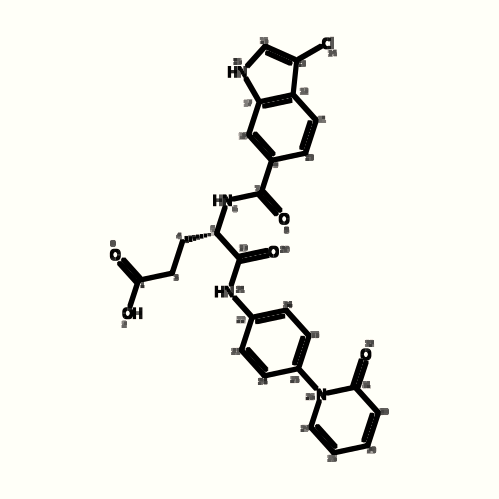 O=C(O)CC[C@H](NC(=O)c1ccc2c(Cl)c[nH]c2c1)C(=O)Nc1ccc(-n2ccccc2=O)cc1